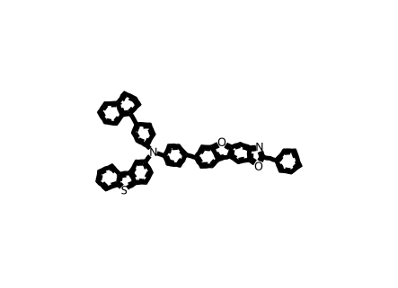 c1ccc(-c2nc3cc4oc5cc(-c6ccc(N(c7ccc(-c8cccc9ccccc89)cc7)c7ccc8sc9ccccc9c8c7)cc6)ccc5c4cc3o2)cc1